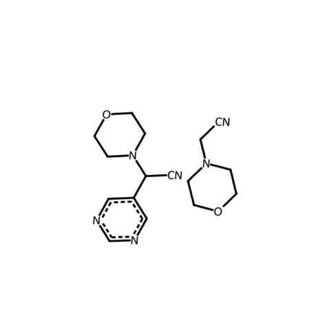 N#CC(c1cncnc1)N1CCOCC1.N#CCN1CCOCC1